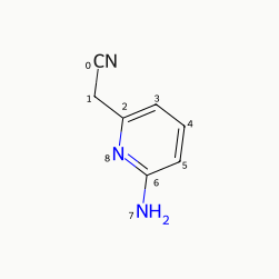 N#CCc1cccc(N)n1